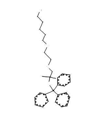 CC(C)(CNCCNCCCCCN)SC(c1ccccc1)(c1ccccc1)c1ccccc1